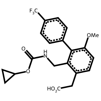 COc1ccc(CC(=O)O)c(CNC(=O)OC2CC2)c1-c1ccc(C(F)(F)F)cc1